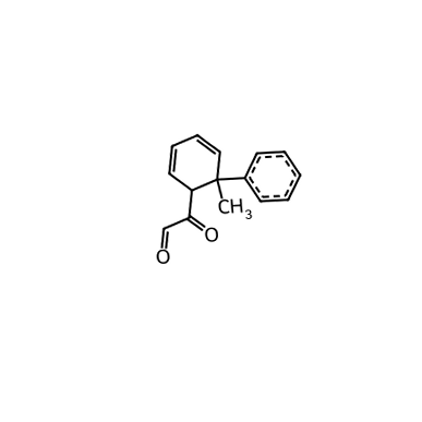 CC1(c2ccccc2)C=CC=CC1C(=O)C=O